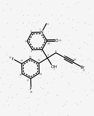 Cn1cccc(C(O)(CC#CBr)c2cc(F)cc(F)c2)c1=O